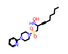 CCCCCC#CC(CS(=O)(=O)N1CCN(c2ccccn2)CC1)NO